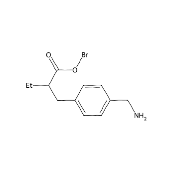 CCC(Cc1ccc(CN)cc1)C(=O)OBr